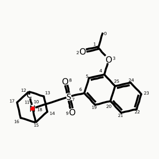 CC(=O)Oc1cc(S(=O)(=O)N2CC3CCC(CC3)C2)cc2ccccc12